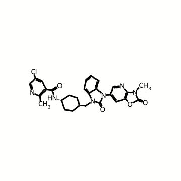 Cc1ncc(Cl)cc1C(=O)N[C@H]1CC[C@H](Cn2c(=O)n(-c3cnc4c(c3)oc(=O)n4C)c3ccccc32)CC1